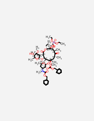 CCOP(=O)(CO[C@@H]1[C@@H](C)C(=O)[C@H](C)C[C@](C)(OC)[C@H](O[C@@H]2O[C@H](C)C[C@H](N(C)C(=O)OCc3ccccc3)[C@H]2OC(=O)OCc2ccccc2)[C@@H](C)[C@H](O[C@H]2C[C@@](C)(OC)[C@@H](O)[C@H](C)O2)[C@@H](C)C(=O)O[C@H](CC)[C@@]1(C)O)OCC